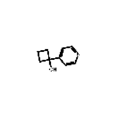 OC1(c2ccncc2)CCC1